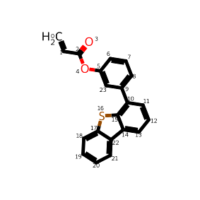 C=CC(=O)Oc1cccc(-c2cccc3c2sc2ccccc23)c1